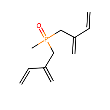 C=CC(=C)CP(C)(=O)CC(=C)C=C